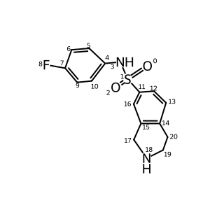 O=S(=O)(Nc1ccc(F)cc1)c1ccc2c(c1)CNCC2